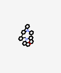 c1ccc(-n2c3ccccc3c3ccc(-c4ccccc4CN(c4cccc5ccccc45)c4cccc5ccccc45)cc32)cc1